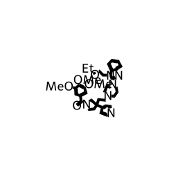 CCOCCn1c(N2CCCN(CCC3(c4ccncc4)CCN(C(=O)c4cc(OC)c(OC)c(OC)c4)C3)CC2)nc2ccccc21